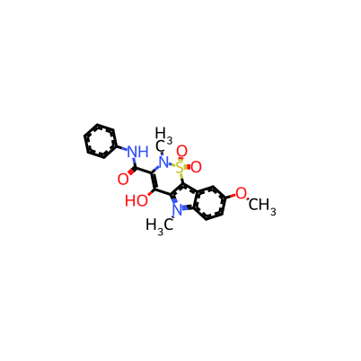 COc1ccc2c(c1)c1c(n2C)C(O)=C(C(=O)Nc2ccccc2)N(C)S1(=O)=O